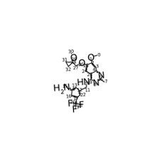 COc1cc2nc(C)nc(NCc3cc(N)cc(C(F)(F)F)c3)c2cc1OCC1(OC)CC1